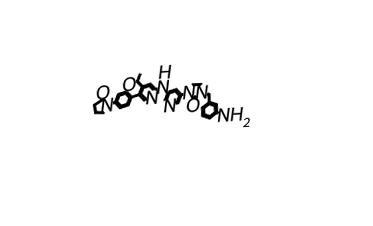 CC1Oc2cc(N3CCCC3=O)ccc2-c2cnc(Nc3cncc(N4CCN(Cc5cccc(N)c5)C4=O)c3)cc21